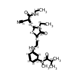 CCNC(=O)C(=C=c1sc(=C=CNc2cccc(N(C)C(=O)C(C)C)c2)c(=O)n1CC)C#N